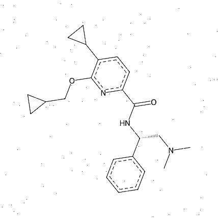 CN(C)C[C@@H](NC(=O)c1ccc(C2CC2)c(OCC2CC2)n1)c1ccccc1